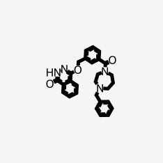 O=C(c1cccc(COc2n[nH]c(=O)c3ccccc23)c1)N1CCCN(Cc2ccccc2)CC1